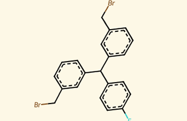 Fc1ccc(C(c2cccc(CBr)c2)c2cccc(CBr)c2)cc1